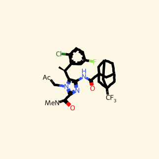 CNC(=O)c1nc(NC(=O)C23CC4CC(C2)CC(C(F)(F)F)(C4)C3)c([C@@H](C)c2cc(F)ccc2Cl)n1CC(C)=O